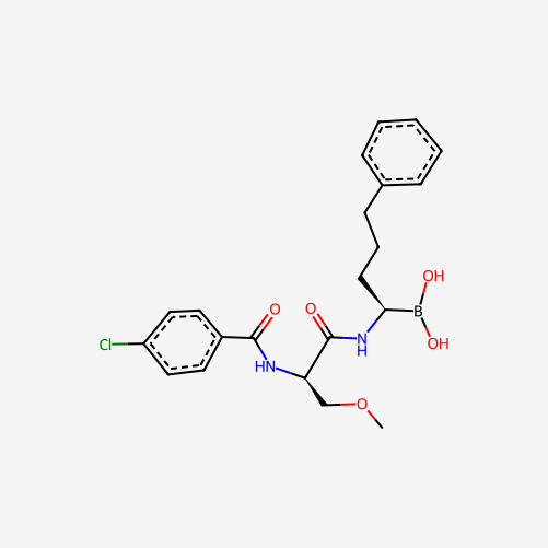 COC[C@@H](NC(=O)c1ccc(Cl)cc1)C(=O)N[C@@H](CCCc1ccccc1)B(O)O